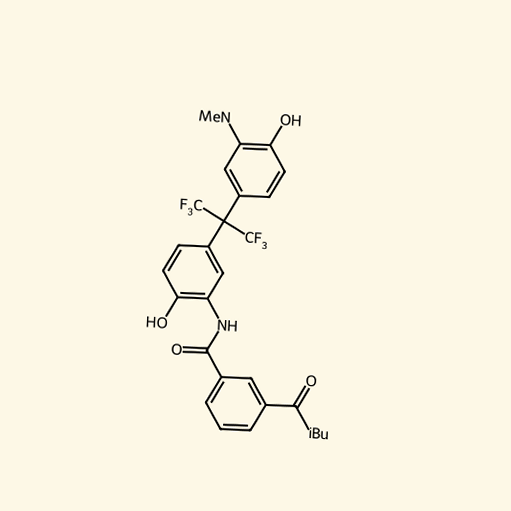 CCC(C)C(=O)c1cccc(C(=O)Nc2cc(C(c3ccc(O)c(NC)c3)(C(F)(F)F)C(F)(F)F)ccc2O)c1